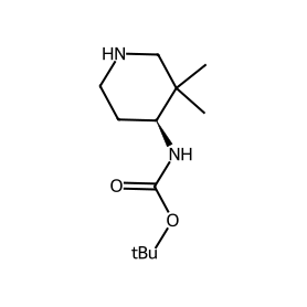 CC(C)(C)OC(=O)N[C@H]1CCNCC1(C)C